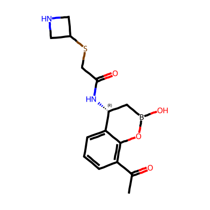 CC(=O)c1cccc2c1OB(O)C[C@H]2NC(=O)CSC1CNC1